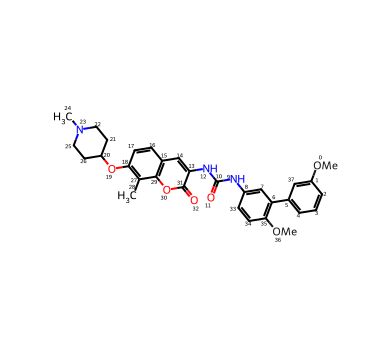 COc1cccc(-c2cc(NC(=O)Nc3cc4ccc(OC5CCN(C)CC5)c(C)c4oc3=O)ccc2OC)c1